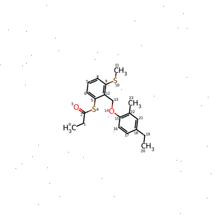 CCC(=O)Sc1cccc(SC)c1COc1ccc(CC)cc1C